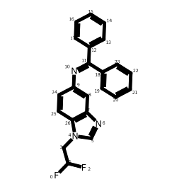 FC(F)Cn1cnc2cc(N=C(c3ccccc3)c3ccccc3)ccc21